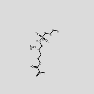 C=C(C)C(=O)OCCCCOS(=O)(=O)CCCC.[NaH]